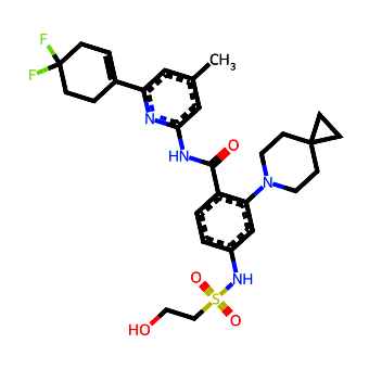 Cc1cc(NC(=O)c2ccc(NS(=O)(=O)CCO)cc2N2CCC3(CC2)CC3)nc(C2=CCC(F)(F)CC2)c1